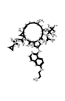 CCCOc1ccc2c(O[C@@H]3C[C@H]4C(=O)N[C@]5(C(=O)NS(=O)(=O)C6CC6)C[C@H]5C=CCC[C@@H](C)C[C@@H](C)[C@H](N(C(=O)O)C(C)(C)C(F)(F)F)C(=O)N4C3)nccc2c1